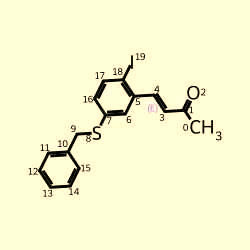 CC(=O)/C=C/c1cc(SCc2ccccc2)ccc1I